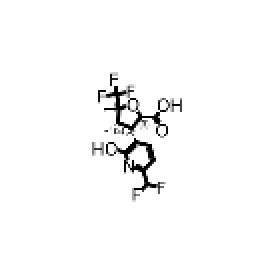 C[C@H]1[C@@H](c2ccc(C(F)F)nc2O)[C@H](C(=O)O)O[C@@]1(C)C(F)(F)F